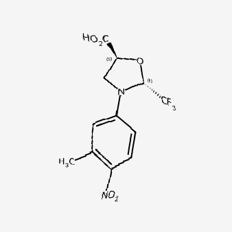 Cc1cc(N2C[C@@H](C(=O)O)O[C@@H]2C(F)(F)F)ccc1[N+](=O)[O-]